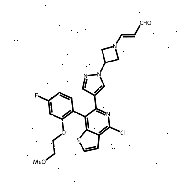 COCCOc1cc(F)ccc1-c1c(-c2cnn(C3CN(C=CC=O)C3)c2)nc(Cl)c2ccsc12